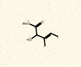 CC=C(C)C(O)C(=O)OC